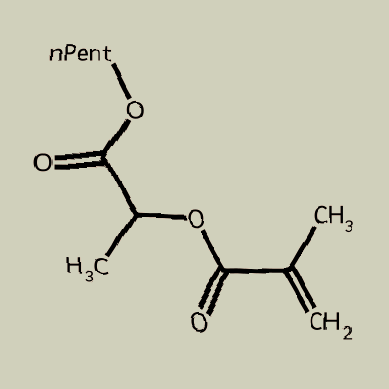 C=C(C)C(=O)OC(C)C(=O)OCCCCC